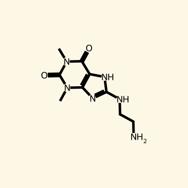 Cn1c(=O)c2[nH]c(NCCN)nc2n(C)c1=O